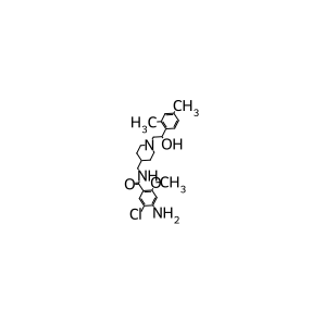 COc1cc(N)c(Cl)cc1C(=O)NCC1CCN(CC(O)c2ccc(C)cc2C)CC1